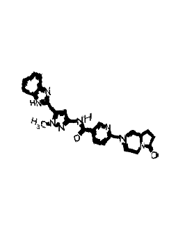 Cn1nc(NC(=O)c2ccc(N3CCN4C(=O)CCC4C3)nc2)cc1-c1nc2ccccc2[nH]1